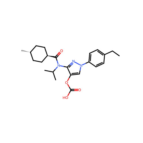 CCc1ccc(-n2cc(OC(=O)O)c(N(C(=O)[C@H]3CC[C@H](C)CC3)C(C)C)n2)cc1